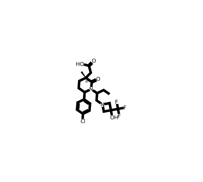 CCC(CN1CC(O)(C(F)(F)F)C1)N1C(=O)[C@@](C)(CC(=O)O)CCC1c1ccc(Cl)cc1